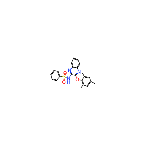 Cc1cc(C)c(Oc2nc3ccccc3nc2NS(=O)(=O)c2ccccc2)c(C)c1